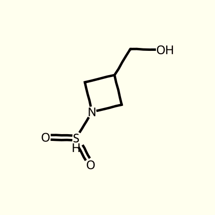 O=[SH](=O)N1CC(CO)C1